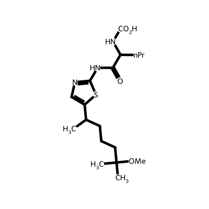 CCCC(NC(=O)O)C(=O)Nc1ncc(C(C)CCCC(C)(C)OC)s1